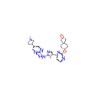 CN1CCC(c2cnc(Nc3ncc(-c4ccnc(OC5CCC6(CC5)COC6)n4)s3)nc2)C1